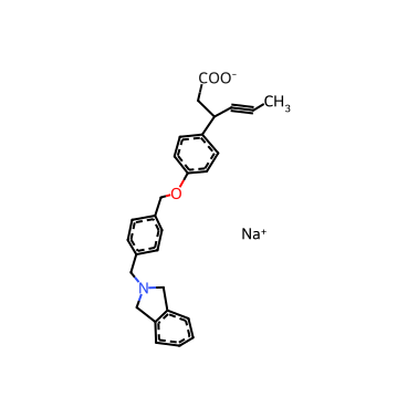 CC#CC(CC(=O)[O-])c1ccc(OCc2ccc(CN3Cc4ccccc4C3)cc2)cc1.[Na+]